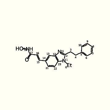 CCn1c(CCc2ccccc2)nc2cc(C=CC(=O)NO)ccc21